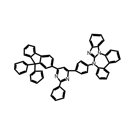 c1ccc(-c2nc(-c3ccc(N4c5ccccc5-c5ccccc5-n5c4nc4ccccc45)cc3)cc(-c3ccc4c(c3)C(c3ccccc3)(c3ccccc3)c3ccccc3-4)n2)cc1